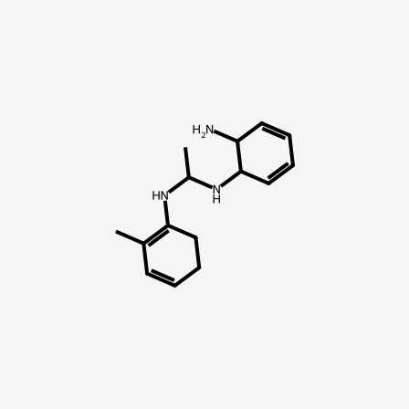 CC1=C(NC(C)NC2C=CC=CC2N)CCC=C1